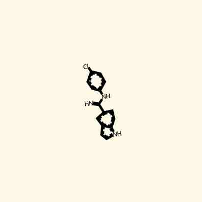 N=C(Nc1ccc(Cl)cc1)c1ccc2[nH]ccc2c1